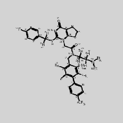 [2H]c1c([2H])c(-c2ccc(C(F)(F)F)cc2)c(C)c([2H])c1CN(C(=O)Cn1c(SC([2H])([2H])c2ccc(F)cc2)nc(=O)c2c1CCC2)C([2H])([2H])C([2H])([2H])N(CC)CC